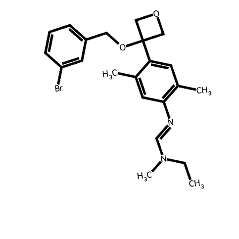 CCN(C)C=Nc1cc(C)c(C2(OCc3cccc(Br)c3)COC2)cc1C